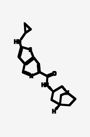 O=C(N[C@@H]1C[C@H]2CCN(C2)C1)c1cc2sc(NC3CC3)cc2cn1